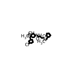 CN(Cc1ccccc1)C(=O)CCC(=O)NC1CCC(Cc2cccc(Cl)c2)(N(C)C)CC1